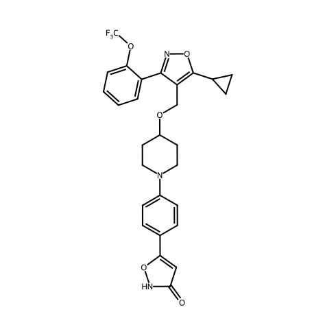 O=c1cc(-c2ccc(N3CCC(OCc4c(-c5ccccc5OC(F)(F)F)noc4C4CC4)CC3)cc2)o[nH]1